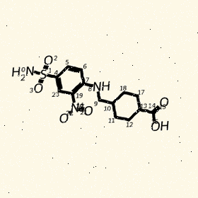 NS(=O)(=O)c1ccc(NCC2CCC(C(=O)O)CC2)c([N+](=O)[O-])c1